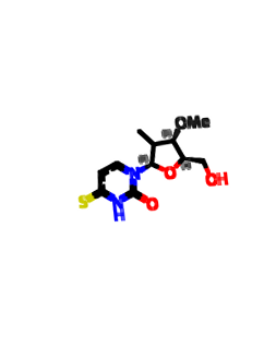 CO[C@@H]1C(C)[C@H](n2ccc(=S)[nH]c2=O)O[C@@H]1CO